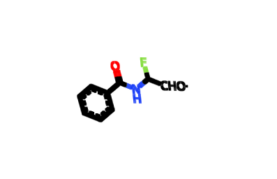 O=[C]C(F)NC(=O)c1ccccc1